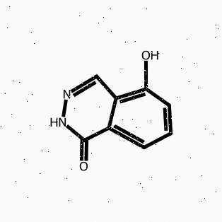 O=c1[nH]ncc2c(O)cccc12